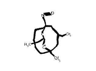 CC1CC2(C)CCCCC(N=O)(C1)CC(C)C2